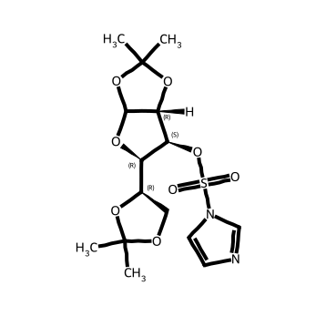 CC1(C)OC[C@H]([C@H]2OC3OC(C)(C)O[C@@H]3[C@H]2OS(=O)(=O)n2ccnc2)O1